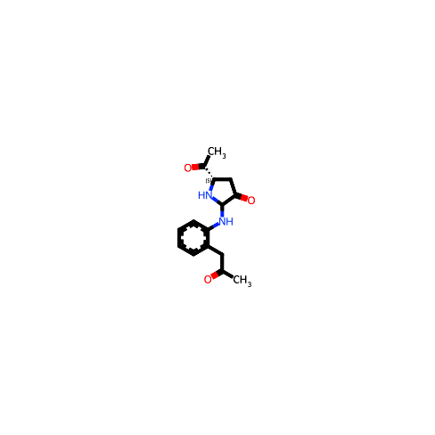 CC(=O)Cc1ccccc1NC1N[C@H](C(C)=O)CC1=O